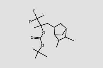 CC1C2CC(CC(C)(OC(=O)OC(C)(C)C)C(F)(F)F)C(C2)C1C